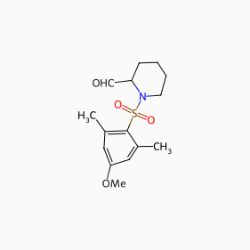 COc1cc(C)c(S(=O)(=O)N2CCCCC2C=O)c(C)c1